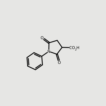 O=C(O)C1CC(=O)N(c2ccccc2)C1=O